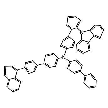 c1ccc(-c2ccc(N(c3ccc(-c4ccc(-c5cccc6ccccc56)cc4)cc3)c3ccc(-c4ccccc4-n4c5ccccc5c5ccccc54)cc3)cc2)cc1